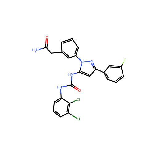 NC(=O)Cc1cccc(-n2nc(-c3cccc(F)c3)cc2NC(=O)Nc2cccc(Cl)c2Cl)c1